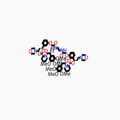 CC[C@H](C(=O)N1CCCC[C@H]1C(=O)O[C@H](CCN1CCOCC1)c1cccc(OCC(=O)NCCNC(=O)COc2cccc([C@@H](CCN3CCOCC3)OC(=O)[C@@H]3CCCCN3C(=O)[C@@H](CC)c3cc(OC)c(OC)c(OC)c3)c2)c1)c1cc(OC)c(OC)c(OC)c1